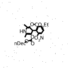 CCCCCCCCCCOC(=O)OC1=C(C)NC(C)=C(OC(=O)OCC)C1c1ccccc1[N+](=O)[O-]